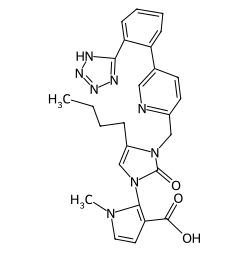 CCCCc1cn(-c2c(C(=O)O)ccn2C)c(=O)n1Cc1ccc(-c2ccccc2-c2nnn[nH]2)cn1